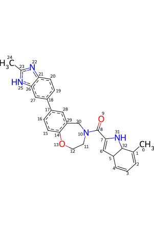 CC1=CC=CC2C=C(C(=O)N3CCOc4ccc(-c5ccc6nc(C)[nH]c6c5)cc4C3)NC12